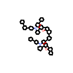 c1ccc(-c2ccc(N(c3ccc(-c4cccc(-c5ccc6ccc7c8cccc(-c9ccccc9N(c9ccc(-c%10ccccc%10)cc9)c9ccc(-c%10cccc(-c%11ccccc%11)c%10)cc9)c8oc7c6c5)c4)cc3)c3ccccc3-c3cccc4c3oc3c5ccccc5ccc43)cc2)cc1